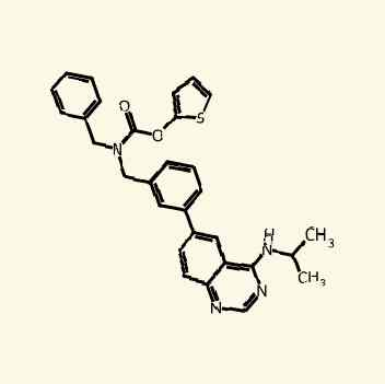 CC(C)Nc1ncnc2ccc(-c3cccc(CN(Cc4ccccc4)C(=O)Oc4cccs4)c3)cc12